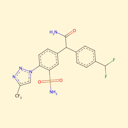 NC(=O)C(c1ccc(C(F)F)cc1)c1ccc(-n2cc(C(F)(F)F)nn2)c(S(N)(=O)=O)c1